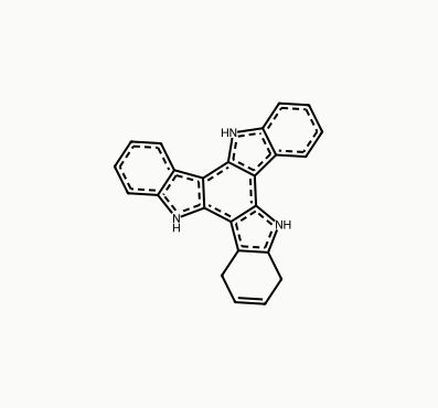 C1=CCc2c([nH]c3c2c2[nH]c4ccccc4c2c2[nH]c4ccccc4c32)C1